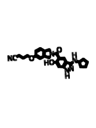 N#CCCCOc1ccc2c(c1)CN(C(=O)c1cc3c(NC4CCCC4)n[nH]c3cc1O)C2